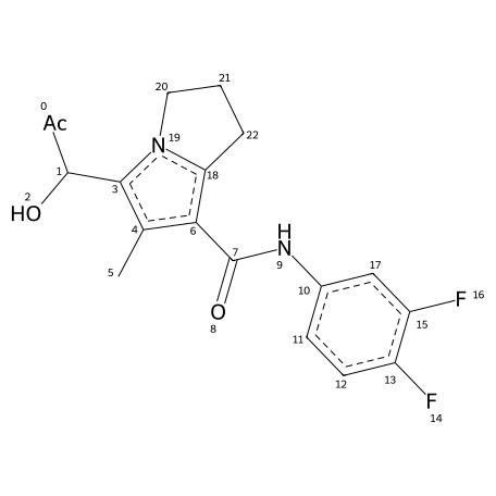 CC(=O)C(O)c1c(C)c(C(=O)Nc2ccc(F)c(F)c2)c2n1CCC2